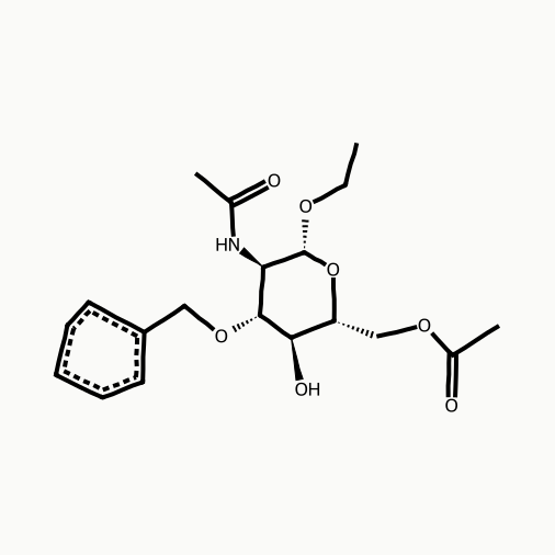 CCO[C@@H]1O[C@H](COC(C)=O)[C@@H](O)[C@H](OCc2ccccc2)[C@H]1NC(C)=O